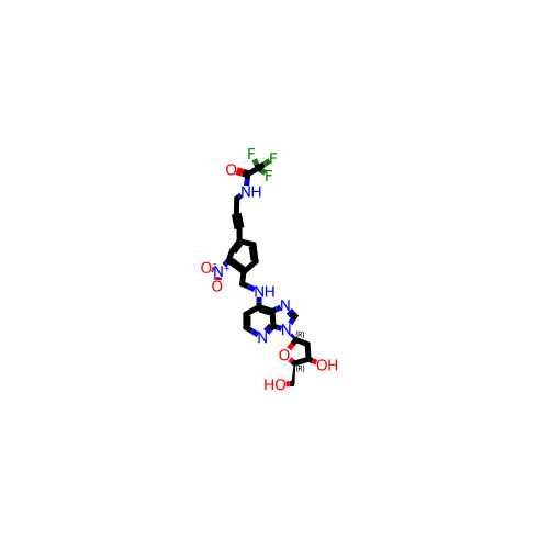 O=C(NCC#Cc1ccc(CNc2ccnc3c2ncn3[C@H]2CC(O)[C@@H](CO)O2)c([N+](=O)[O-])c1)C(F)(F)F